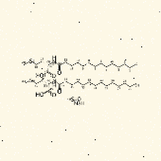 CCCCCCCCCCCCCC(=O)N[C@@H](CCSC)C(=O)O.CCCCCCCCCCCCCC(=O)N[C@@H](CCSC)C(=O)O.O=S.[NaH]